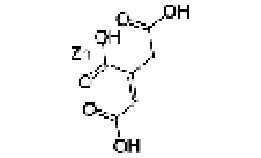 O=C(O)C=C(CC(=O)O)C(=O)O.[Zn]